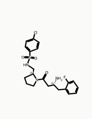 N[C@@H](CC(=O)N1CCC[C@H]1CNS(=O)(=O)c1ccc(Cl)cc1)Cc1ccccc1F